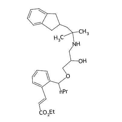 CCCC(OCC(O)CNC(C)(C)CC1Cc2ccccc2C1)c1ccccc1/C=C/C(=O)OCC